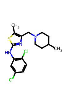 Cc1sc(Nc2cc(Cl)ccc2Cl)nc1CN1CCC(C)CC1